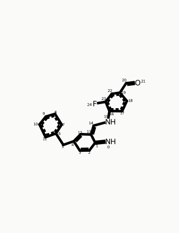 N=C1C=CC(Cc2ccccc2)=C/C1=C/Nc1ccc(C=O)cc1F